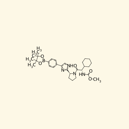 COC(=O)N[C@H](C(=O)N1CCC[C@H]1c1nc(-c2ccc(B3OC(C)(C)C(C)(C)O3)cc2)c[nH]1)C1CCCCC1